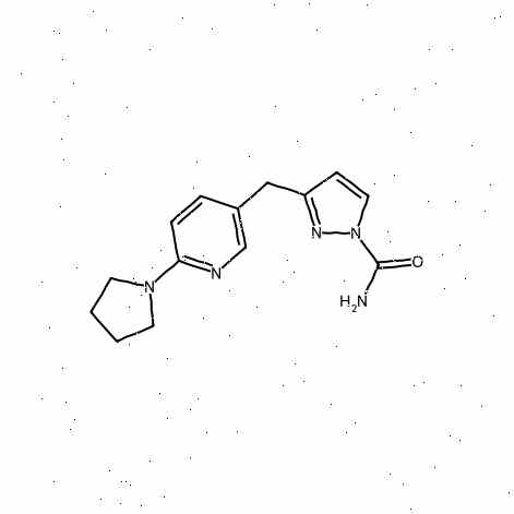 NC(=O)n1ccc(Cc2ccc(N3CCCC3)nc2)n1